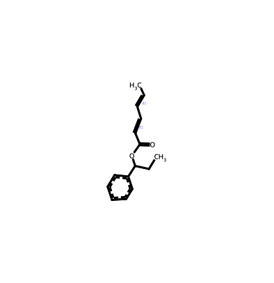 C/C=C/C=C/C(=O)OC(CC)c1ccccc1